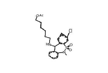 CC(=O)OCCCCCCNC1c2ccccc2N(C)S(=O)(=O)c2cc(Cl)ccc21